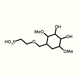 COC1CC(COCCS(=O)(=O)O)C(OC)C(O)C1O